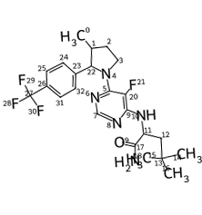 CC1CCN(c2ncnc(NC(CC(C)(C)C)C(N)=O)c2F)C1c1ccc(C(F)(F)F)cc1